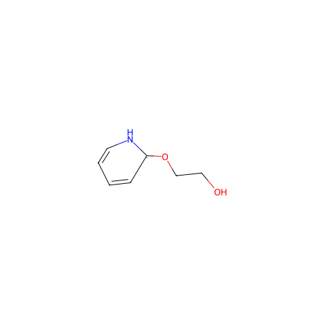 OCCO[C]1C=CC=CN1